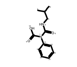 CC(C)CNC(=O)N(C(=O)O)c1ccccc1